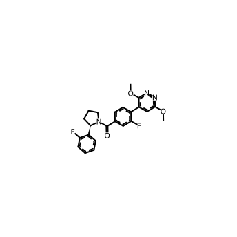 COc1cc(-c2ccc(C(=O)N3CCC[C@@H]3c3ccccc3F)cc2F)c(OC)nn1